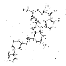 Cc1cc(NCc2cccc(-n3cccn3)c2)n2nc(C)c(-c3ccc(Cl)c(C(=O)N(C)CCN(C)C)c3)c2n1